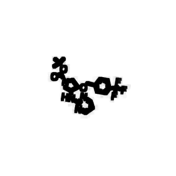 CC(C)(C)OC(=O)N1CC(Nc2ncccn2)C(OCc2ccc(C(F)(F)F)cc2)C1